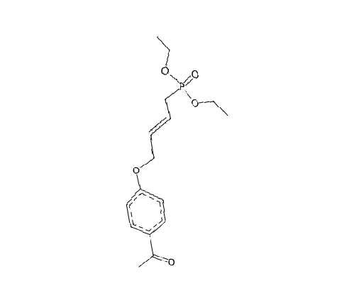 CCOP(=O)(C/C=C/COc1ccc(C(C)=O)cc1)OCC